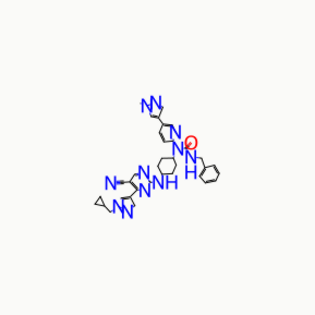 Cn1cc(-c2ccc(N(C(=O)NCc3ccccc3)[C@H]3CC[C@H](Nc4ncc(C#N)c(-c5cnn(CC6CC6)c5)n4)CC3)nc2)cn1